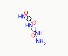 NCCC(=O)NC1CCC(NC(=O)c2ccc3c(c2)CNC3=O)CC1